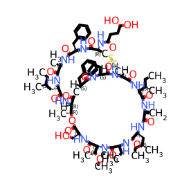 C=C1NC(=O)[C@H]([C@@H](C)CC)NC(=O)[C@@H]2CSSC[C@H](NC(=O)CCC(O)O)C(=O)N[C@H](Cc3ccccc3)C(=O)N[C@H](C)C(=O)N[C@@H](C[C@@H](C)CC)C(=O)N[C@@H](C(=O)C[C@H](Cc3ccccc3)C(=O)N3CCC[C@H]3C(=O)N2)[C@@H](C)OC(=O)[C@H](CO)NC(=O)[C@H]([C@@H](C)OC)N(C)C(=O)C(CC)NC(=O)[C@H](C[C@H](C)CC)NC1=O